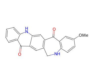 COc1ccc2c(c1)C(=O)c1cc3[nH]c4ccccc4c(=O)c3cc1CN2